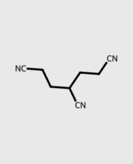 N#CCCC(C#N)CCC#N